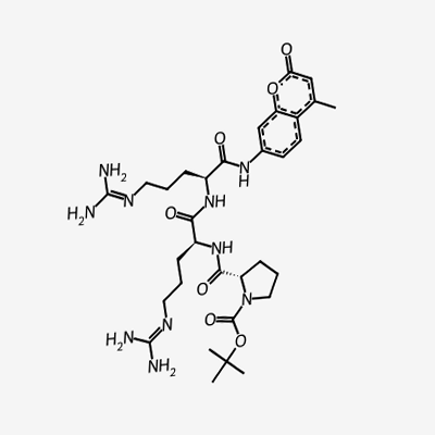 Cc1cc(=O)oc2cc(NC(=O)[C@H](CCCN=C(N)N)NC(=O)[C@H](CCCN=C(N)N)NC(=O)[C@@H]3CCCN3C(=O)OC(C)(C)C)ccc12